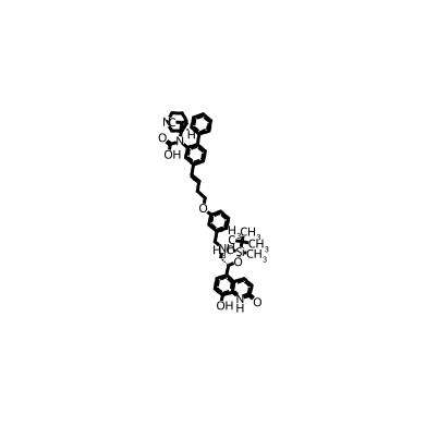 CC(C)(C)[Si](C)(C)O[C@@H](CNCc1cccc(OCCC=Cc2ccc(-c3ccccc3)c(N(C(=O)O)[C@H]3CN4CCC3CC4)c2)c1)c1ccc(O)c2[nH]c(=O)ccc12